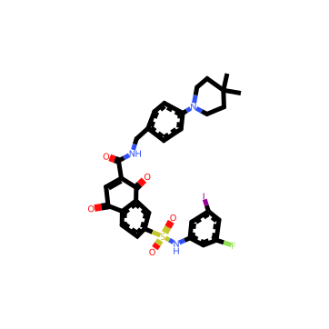 CC1(C)CCN(c2ccc(CNC(=O)C3=CC(=O)c4ccc(S(=O)(=O)Nc5cc(F)cc(I)c5)cc4C3=O)cc2)CC1